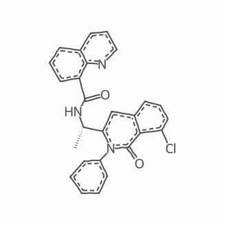 C[C@H](NC(=O)c1cccc2cccnc12)c1cc2cccc(Cl)c2c(=O)n1-c1ccccc1